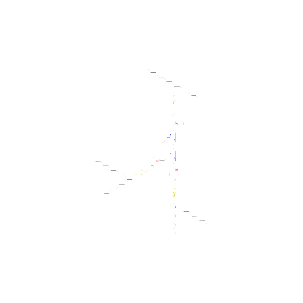 CCCCCCCCC(CCCCCC)CSSSCCOC(=O)CCN(CCO)CCCN(CCC(=O)OCCSSSCC(CCCCCC)CCCCCCCC)CCC(=O)OCCSSSCC(CCCCCC)CCCCCCCC